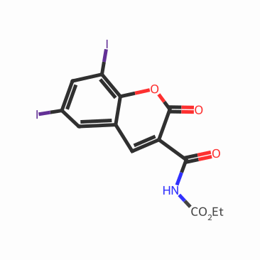 CCOC(=O)NC(=O)c1cc2cc(I)cc(I)c2oc1=O